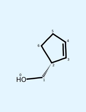 OC[C@H]1C=CCC1